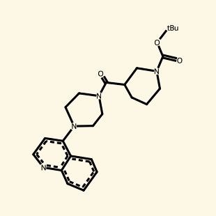 CC(C)(C)OC(=O)N1CCCC(C(=O)N2CCN(c3ccnc4ccccc34)CC2)C1